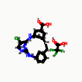 O=C(O)C(F)(F)F.O=C(O)c1cc2cc(c1)Nc1nc(ncc1Cl)Nc1cccc(c1)CC2